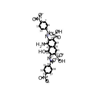 Nc1c(/N=N/c2ccc([N+](=O)[O-])cc2)c(S(=O)(=O)O)cc2cc(S(=O)(=O)O)c(/N=N/c3ccc([N+](=O)[O-])cc3)c(O)c12